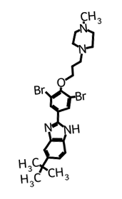 CN1CCN(CCCOc2c(Br)cc(-c3nc4cc(C(C)(C)C)ccc4[nH]3)cc2Br)CC1